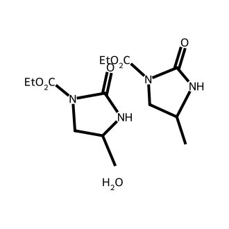 CCOC(=O)N1CC(C)NC1=O.CCOC(=O)N1CC(C)NC1=O.O